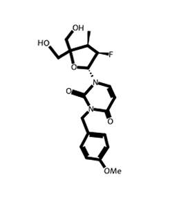 COc1ccc(Cn2c(=O)ccn([C@@H]3OC(CO)(CO)[C@@H](C)[C@H]3F)c2=O)cc1